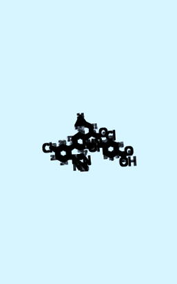 O=C(O)c1ccc(NC(=O)C(CC2CC2)c2ccc(-c3cc(Cl)ccc3-n3cnnn3)c[n+]2O)c(Cl)c1